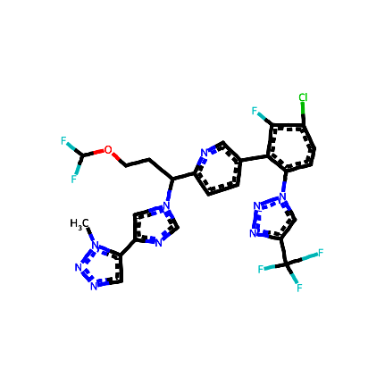 Cn1nncc1-c1cn(C(CCOC(F)F)c2ccc(-c3c(-n4cc(C(F)(F)F)nn4)ccc(Cl)c3F)cn2)cn1